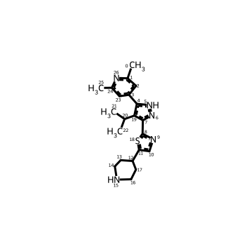 Cc1cc(-c2[nH]nc(-c3ncc(C4CCNCC4)s3)c2C(C)C)cc(C)n1